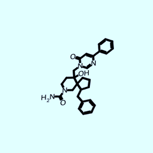 NC(=O)N1CCC(O)(Cn2cnc(-c3ccccc3)cc2=O)C2(CCCC2Cc2ccccc2)C1